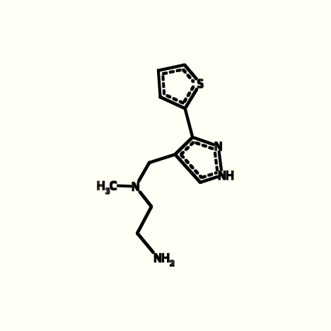 CN(CCN)Cc1c[nH]nc1-c1cccs1